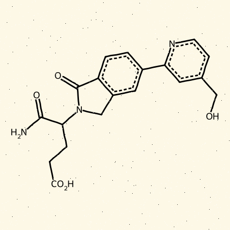 NC(=O)C(CCC(=O)O)N1Cc2cc(-c3cc(CO)ccn3)ccc2C1=O